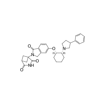 O=C1NC(=O)C2(N3Cc4cc(O[C@H]5CCCC[C@H]5N5CCC(c6ccccc6)C5)ccc4C3=O)CC1C2